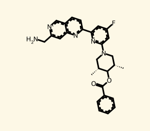 C[C@@H]1CN(c2cc(F)cc(-c3ccc4cnc(CN)cc4n3)n2)C[C@H](C)C1OC(=O)c1ccccc1